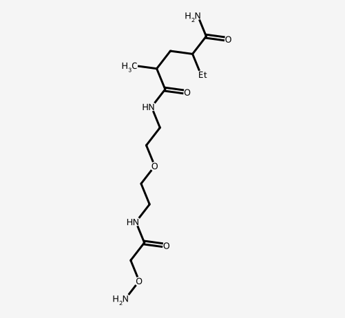 CCC(CC(C)C(=O)NCCOCCNC(=O)CON)C(N)=O